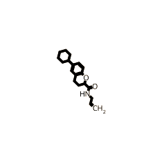 C=CCNC(=O)C1CCc2cc(C3CCCCC3)ccc2O1